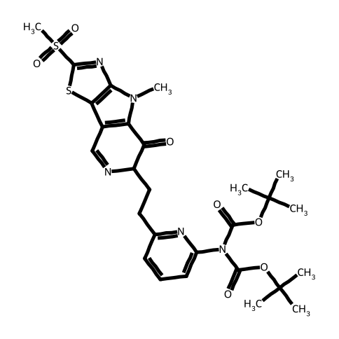 Cn1c2c(c3sc(S(C)(=O)=O)nc31)C=NC(CCc1cccc(N(C(=O)OC(C)(C)C)C(=O)OC(C)(C)C)n1)C2=O